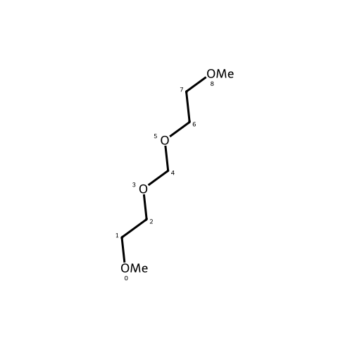 COCCOCOCCOC